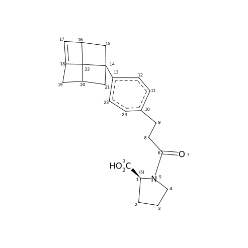 O=C(O)[C@@H]1CCCN1C(=O)CCc1ccc(C23CC4C=C5CC(C2)C543)cc1